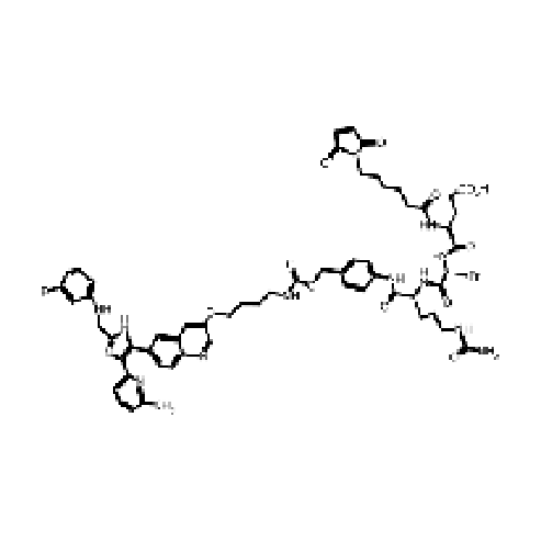 Cc1cccc(-c2nc(CNc3cccc(F)c3)[nH]c2-c2ccc3ncc(OCCCCNC(=O)OCc4ccc(NC(=O)[C@H](CCCNC(N)=O)NC(=O)[C@@H](NC(=O)[C@H](CCC(=O)O)NC(=O)CCCCCN5C(=O)C=CC5=O)C(C)C)cc4)cc3c2)n1